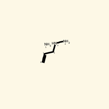 C=CCNN.N